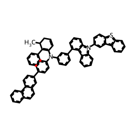 CC1CC=CC(N(c2ccc(-c3ccc4c(ccc5ccccc54)c3)cc2)c2cccc(-c3cccc4c3c3ccccc3n4-c3ccc4sc5ccccc5c4c3)c2)=C1c1ccccc1